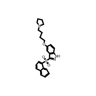 O=S(=O)(c1cccc2ccccc12)c1n[nH]c2ccc(OCCCCN3CCCC3)cc12